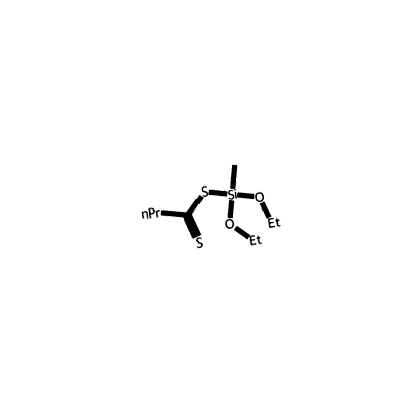 CCCC(=S)S[Si](C)(OCC)OCC